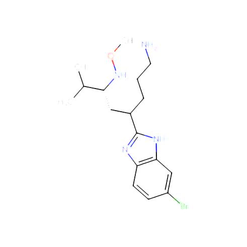 CON[C@H](CC(CCCN)c1nc2ccc(Br)cc2[nH]1)C(C)C